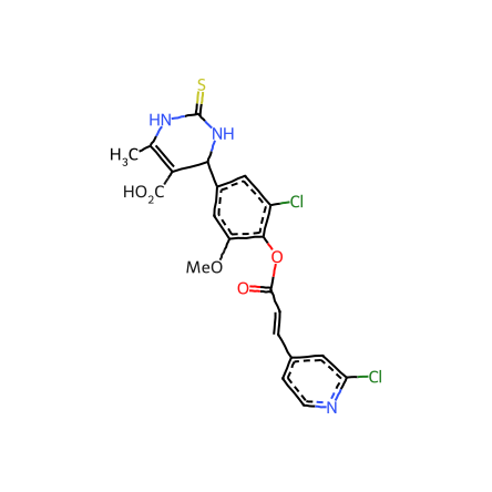 COc1cc(C2NC(=S)NC(C)=C2C(=O)O)cc(Cl)c1OC(=O)C=Cc1ccnc(Cl)c1